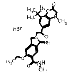 Br.CCOc1cc2c(cc1C(=O)NC)C(=N)N(CC(=O)c1cc3c(c(C(C)(C)C)c1)OC(=O)CN3C)C2